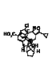 O=C(O)c1cc(F)c2nc([C@@]3(O)[C@@H]4CC[C@H]3C[C@@H](OCc3c(-c5c(Cl)cccc5Cl)noc3C3CC3)C4)sc2c1